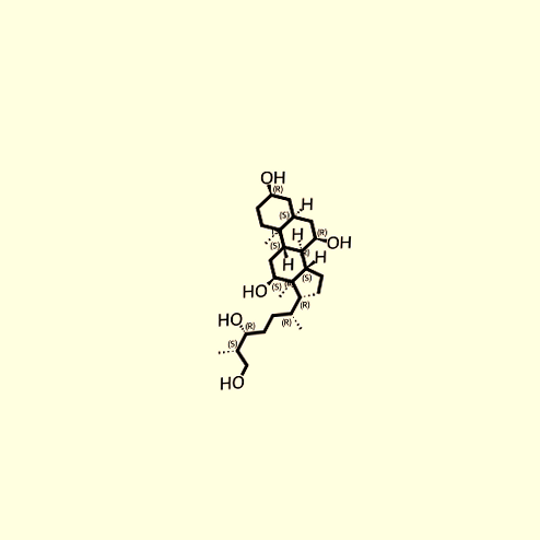 C[C@H](CC[C@@H](O)[C@@H](C)CO)[C@H]1CC[C@H]2[C@@H]3[C@H](O)C[C@@H]4C[C@H](O)CC[C@]4(C)[C@H]3C[C@H](O)[C@]12C